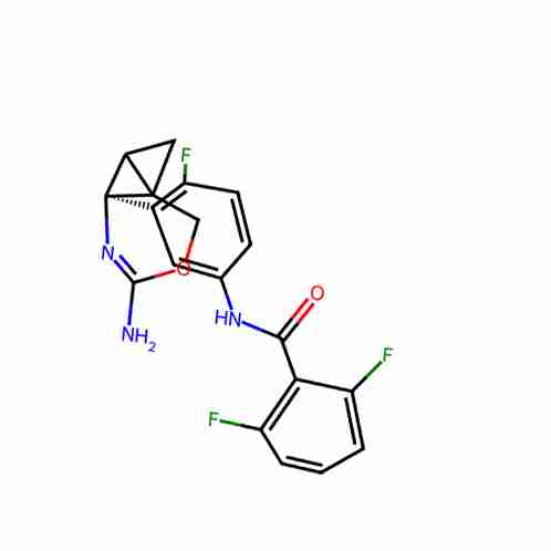 NC1=N[C@@]2(c3cc(NC(=O)c4c(F)cccc4F)ccc3F)C3CC32CO1